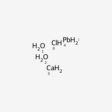 Cl.O.O.[CaH2].[PbH2]